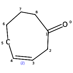 O=C1C/C=C\CCCC1